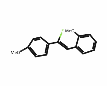 COc1ccc(C(F)=Cc2ccccc2OC)cc1